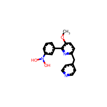 COc1ccc(Cc2ccncc2)nc1-c1cccc(N(O)O)c1